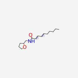 CCCCC/C=C/C=C/C(=O)NCC1CCCO1